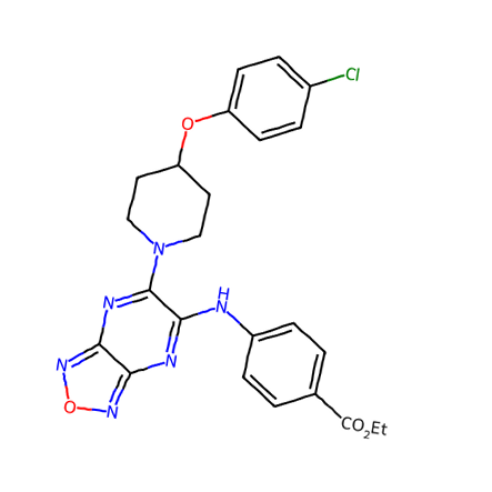 CCOC(=O)c1ccc(Nc2nc3nonc3nc2N2CCC(Oc3ccc(Cl)cc3)CC2)cc1